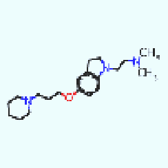 CN(C)CCN1CCc2cc(OCCCN3CCCCC3)ccc21